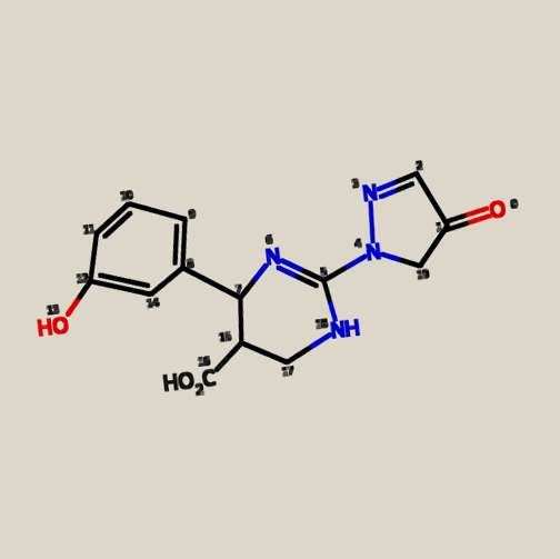 O=C1C=NN(C2=NC(c3cccc(O)c3)C(C(=O)O)CN2)C1